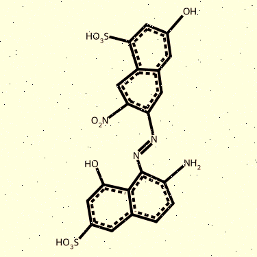 Nc1ccc2cc(S(=O)(=O)O)cc(O)c2c1N=Nc1cc2cc(O)cc(S(=O)(=O)O)c2cc1[N+](=O)[O-]